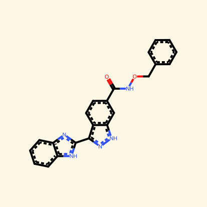 O=C(NOCc1ccccc1)c1ccc2c(-c3nc4ccccc4[nH]3)n[nH]c2c1